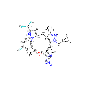 Cc1nn(CC2CC2)c2c1Cc1cc(C(F)F)nn1-c1ccc(F)cc1C(C)Oc1cc-2cnc1N